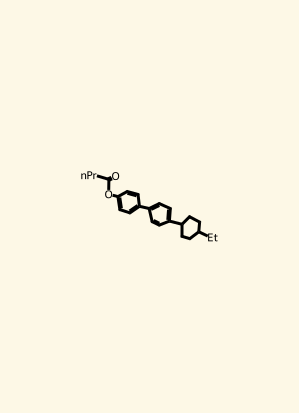 CCCC(=O)Oc1ccc(-c2ccc(C3CCC(CC)CC3)cc2)cc1